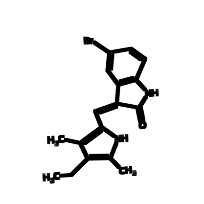 CCc1c(C)[nH]c(C=C2C(=O)Nc3ccc(Br)cc32)c1C